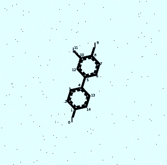 Ic1ccc(-c2ccc(I)c(I)c2)cc1